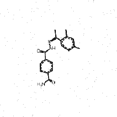 CC(=NNC(=O)c1ccc(C(N)=O)cc1)c1ccc(C)cc1C